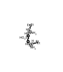 CCN(CC)CCCNc1nc(N)nc(Nc2ccc(C=Cc3ccc(Nc4nc(N)nc(NCCCN(CC)CC)n4)cc3S(=O)(=O)O)cc2)n1